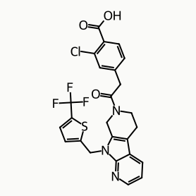 O=C(O)c1ccc(CC(=O)N2CCc3c(n(Cc4ccc(C(F)(F)F)s4)c4ncccc34)C2)cc1Cl